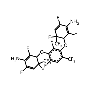 NC1=C(F)C(Oc2c(F)cc(C(F)(F)F)c(OC3C(F)=C(N)C(F)=CC3(F)C(F)(F)F)c2F)C(F)(C(F)(F)F)C=C1F